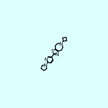 c1cc(N2CCCC2)ncc1-c1nc2c(s1)CCN(C1CCC1)CC2